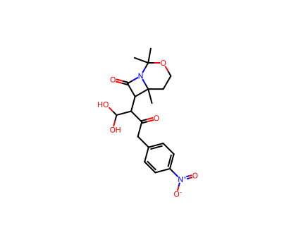 CC1(C)OCCC2(C)C(C(C(=O)Cc3ccc([N+](=O)[O-])cc3)C(O)O)C(=O)N12